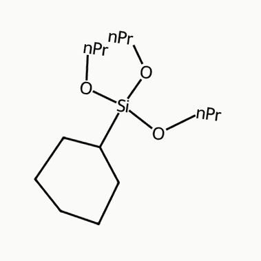 CCCO[Si](OCCC)(OCCC)C1CCCCC1